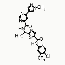 CC(NC(=O)c1cc(-c2cnn(C)c2)ncn1)c1ncc(C(=O)Nc2cc(C(F)(F)F)c(Cl)cn2)s1